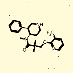 CN(C(=O)C(C)(C)COc1ncccc1C(F)(F)F)[C@H]1CCNC[C@@H]1c1ccccc1